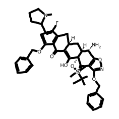 CN1CCCC1c1cc(OCc2ccccc2)c2c(c1F)C[C@H]1C[C@H]3[C@H](N)c4onc(OCc5ccccc5)c4C(=O)[C@@]3(O[Si](C)(C)C(C)(C)C)C(O)=C1C2=O